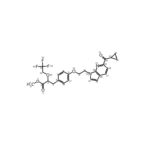 COC(=O)C(Cc1ccc(OCCn2ccc3ccc(C(=O)C4CC4)nc32)cc1)OCC(F)(F)F